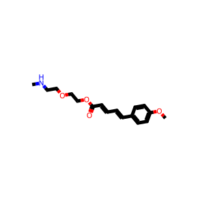 CNCCOCCOC(=O)/C=C/C=C/c1ccc(OC)cc1